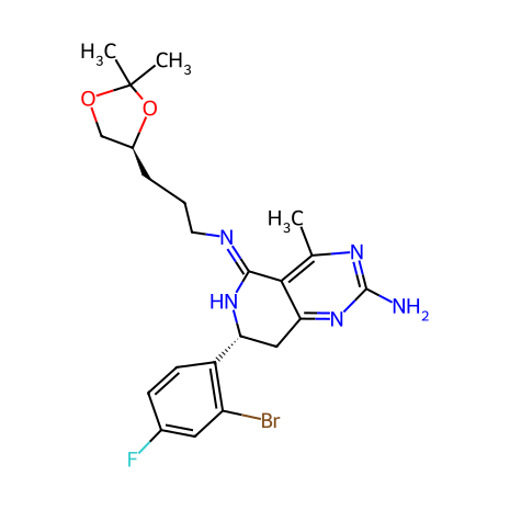 Cc1nc(N)nc2c1/C(=N/CCC[C@H]1COC(C)(C)O1)N[C@@H](c1ccc(F)cc1Br)C2